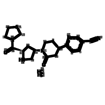 Cl.Cl.N#Cc1ccc(N2CCN([C@@H]3CN[C@H](C(=O)N4CCSC4)C3)C(=O)C2)nc1